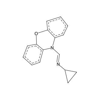 C(=NC1CC1)N1c2ccccc2Oc2ccccc21